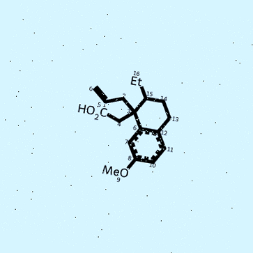 C=CCC1(CC(=O)O)c2cc(OC)ccc2CCC1CC